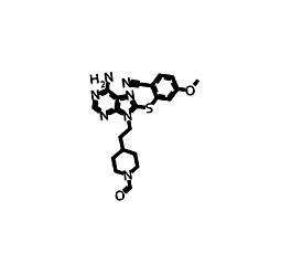 COc1ccc(C#N)c(Sc2nc3c(N)ncnc3n2CCC2CCN(C=O)CC2)c1